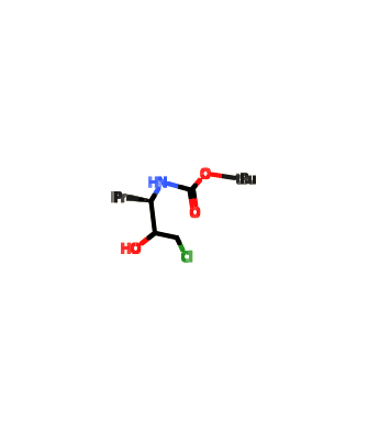 CC(C)[C@@H](NC(=O)OC(C)(C)C)C(O)CCl